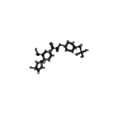 COc1cc(C(=O)NCc2ccc(OC(F)(F)F)cc2)ccc1-n1cnc(C)c1